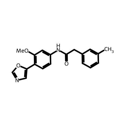 COc1cc(NC(=O)Cc2cccc(C)c2)ccc1-c1cnco1